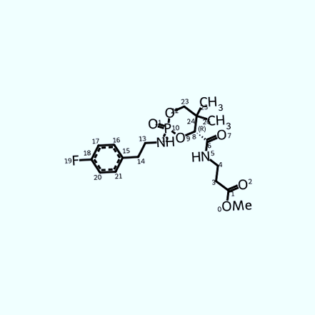 COC(=O)CCNC(=O)[C@@H]1OP(=O)(NCCc2ccc(F)cc2)OCC1(C)C